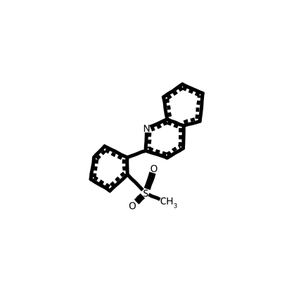 CS(=O)(=O)c1ccccc1-c1ccc2ccccc2n1